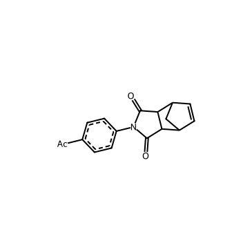 CC(=O)c1ccc(N2C(=O)C3C4C=CC(C4)C3C2=O)cc1